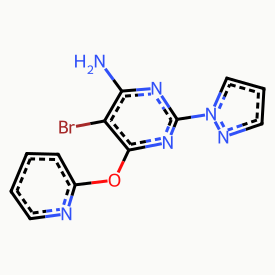 Nc1nc(-n2cccn2)nc(Oc2ccccn2)c1Br